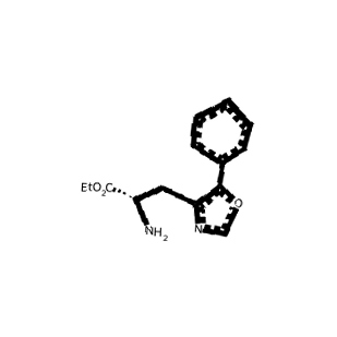 CCOC(=O)[C@@H](N)Cc1ncoc1-c1ccccc1